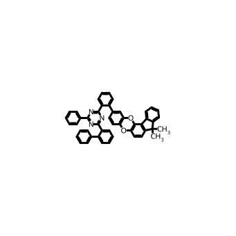 CC1(C)c2ccccc2-c2c1ccc1c2Oc2cc(-c3ccccc3-c3nc(-c4ccccc4)nc(-c4ccccc4-c4ccccc4)n3)ccc2O1